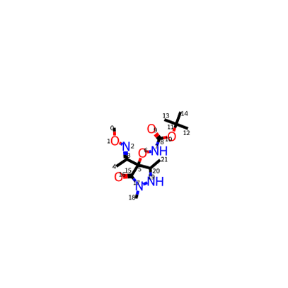 CO/N=C(\C)C1(ONC(=O)OC(C)(C)C)C(=O)N(C)NC1C